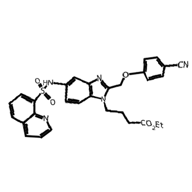 CCOC(=O)CCCn1c(COc2ccc(C#N)cc2)nc2cc(NS(=O)(=O)c3cccc4cccnc34)ccc21